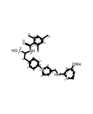 COc1ccnc(NCc2ccn(-c3ccc(CC(NC(=O)c4c(C)cc(C)cc4C)C(=O)O)cc3)c2)c1